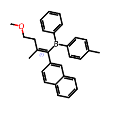 COCC/C(C)=C(\B(c1ccccc1)c1ccc(C)cc1)c1ccc2ccccc2c1